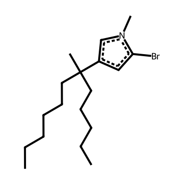 CCCCCCC(C)(CCCCC)c1cc(Br)n(C)c1